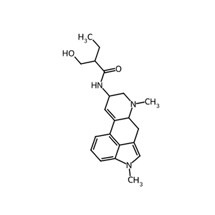 CCC(CO)C(=O)NC1C=C2c3cccc4c3c(cn4C)CC2N(C)C1